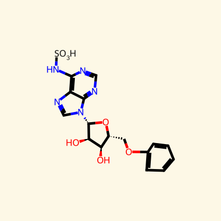 O=S(=O)(O)Nc1ncnc2c1ncn2[C@@H]1O[C@H](COc2ccccc2)[C@@H](O)[C@H]1O